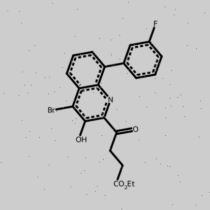 CCOC(=O)CCC(=O)c1nc2c(-c3cccc(F)c3)cccc2c(Br)c1O